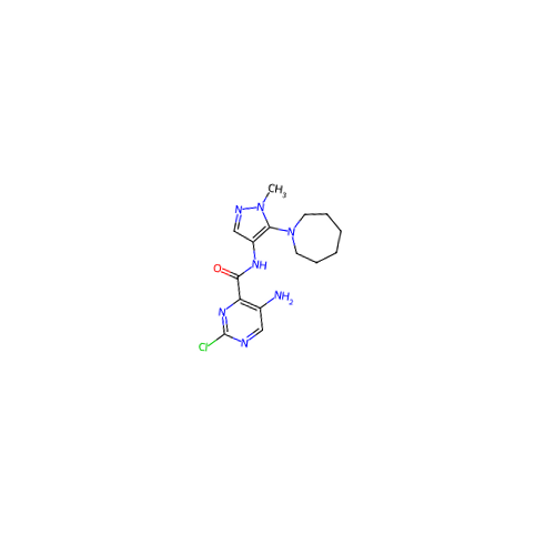 Cn1ncc(NC(=O)c2nc(Cl)ncc2N)c1N1CCCCCC1